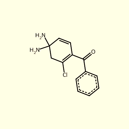 NC1(N)C=CC(C(=O)c2ccccc2)=C(Cl)C1